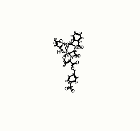 CC(C)=C(C(=O)OCc1ccc([N+](=O)[O-])cc1)N1C(=O)[C@@H](N2C(=O)c3ccccc3C2=O)[C@H]1S(=O)(=O)Nc1cc(C)on1